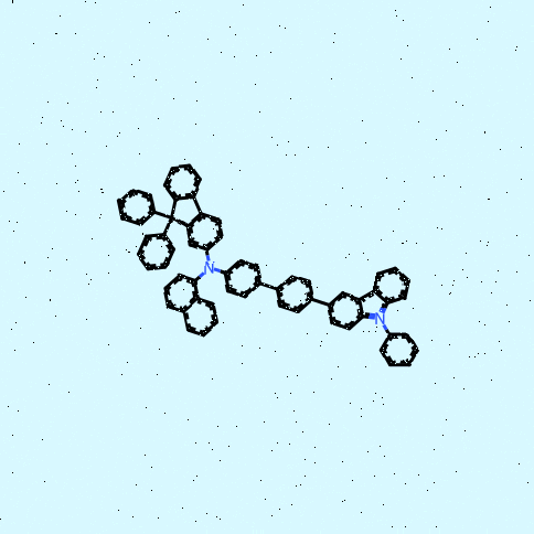 c1ccc(-n2c3ccccc3c3cc(-c4ccc(-c5ccc(N(c6ccc7c(c6)C(c6ccccc6)(c6ccccc6)c6ccccc6-7)c6cccc7ccccc67)cc5)cc4)ccc32)cc1